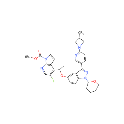 CC(Oc1ccc2c(c1)c(-c1ccc(N3CC(C(F)(F)F)C3)nc1)nn2C1CCCCO1)c1c(F)cnc2c1ccn2C(=O)OC(C)(C)C